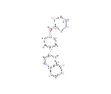 c1ccc2ncc(-c3ccc(OC4CCNCC4)cc3)cc2c1